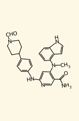 CN(c1cc(Nc2ccc(C3CCN(C=O)CC3)cc2)ncc1C(N)=O)c1cccc2[nH]ccc12